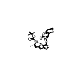 C[C@@H](Cc1cc2nsc(N(Cc3cccs3)C(=O)O)c2s1)NC(=O)OC(C)(C)C